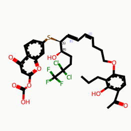 CCCc1c(OCCC/C=C\C=C\[C@H](Sc2ccc3c(=O)cc(OC(=O)O)oc3c2)[C@H](O)CCC(Cl)(Cl)C(F)(F)F)ccc(C(C)=O)c1O